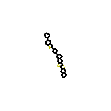 c1ccc(-c2ccc3sc(-c4ccc(-c5ccc6cc7c(cc6c5)sc5c6cc8ccccc8cc6sc75)cc4)cc3c2)cc1